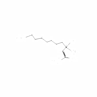 CCCCCCCCCCCCCCCCCC(F)(C=C(C)C(=O)O)CCCCCCCCC